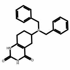 O=c1[nH]c2c(c(=O)[nH]1)CC(N(Cc1ccccc1)Cc1ccccc1)CC2